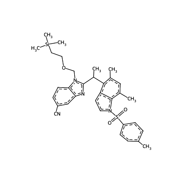 Cc1ccc(S(=O)(=O)n2ccc3c(C(C)c4nc5cc(C#N)ccc5n4COCC[Si](C)(C)C)c(C)cc(C)c32)cc1